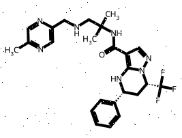 Cc1cnc(CNCC(C)(C)NC(=O)c2cnn3c2N[C@@H](c2ccccc2)C[C@H]3C(F)(F)F)cn1